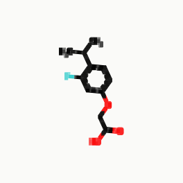 CC(C)c1ccc(OCC(=O)O)cc1F